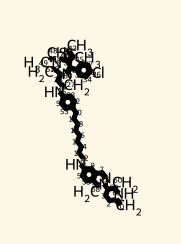 C=C1CCC(N2N=Cc3cc(NCCCCCCCCCc4ccc(NC(=C)CC5N=C(c6ccc(Cl)cc6)c6c(sc(C)c6C)N(C(=C)C)C5=C)cc4)ccc3C2=C)C(=C)N1